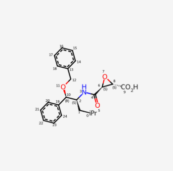 CC(C)C[C@H](NC(=O)[C@H]1O[C@@H]1C(=O)O)[C@H](OCc1ccccc1)c1ccccc1